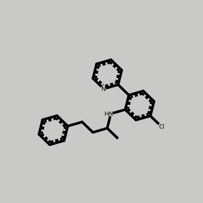 CC(CCc1ccccc1)Nc1cc(Cl)ccc1-c1c[c]ccn1